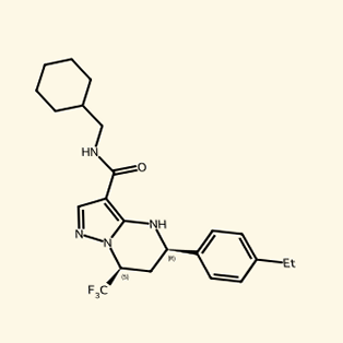 CCc1ccc([C@H]2C[C@@H](C(F)(F)F)n3ncc(C(=O)NCC4CCCCC4)c3N2)cc1